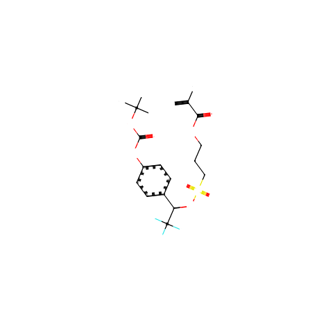 C=C(C)C(=O)OCCCS(=O)(=O)OC(c1ccc(OC(=O)OC(C)(C)C)cc1)C(F)(F)F